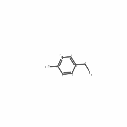 FCc1ccc(F)nc1